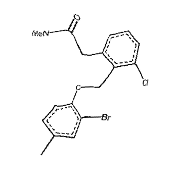 CNC(=O)Cc1cccc(Cl)c1COc1ccc(C)cc1Br